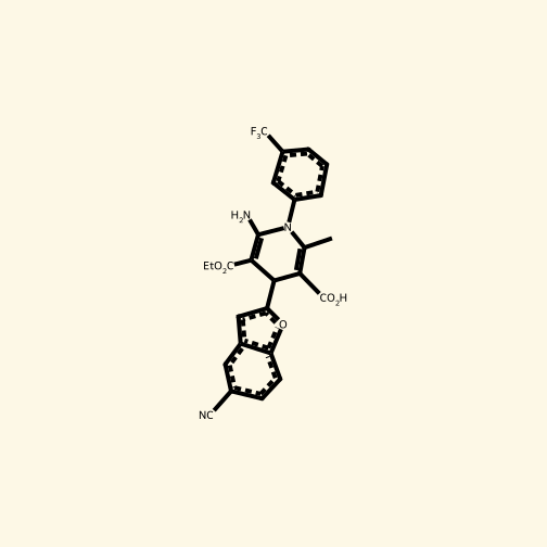 CCOC(=O)C1=C(N)N(c2cccc(C(F)(F)F)c2)C(C)=C(C(=O)O)C1c1cc2cc(C#N)ccc2o1